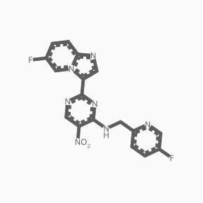 O=[N+]([O-])c1cnc(-c2cnc3ccc(F)cn23)nc1NCc1ccc(F)cn1